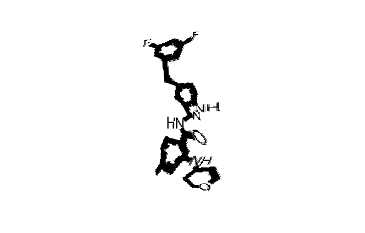 Cc1ccc(C(=O)Nc2n[nH]c3ccc(Cc4cc(F)cc(F)c4)cc23)c(NC2CCOCC2)c1